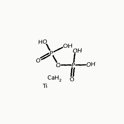 O=P(O)(O)OP(=O)(O)O.[CaH2].[Ti]